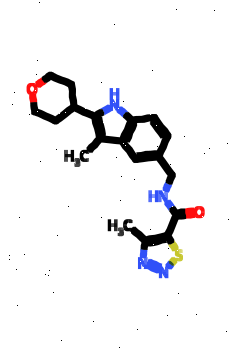 Cc1nnsc1C(=O)NCc1ccc2[nH]c(C3CCOCC3)c(C)c2c1